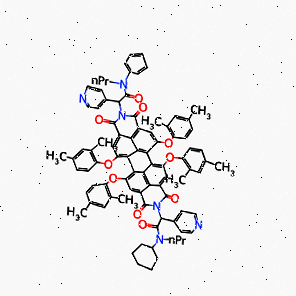 CCCN(C(=O)C(c1ccncc1)N1C(=O)c2cc(Oc3ccc(C)cc3C)c3c4c(Oc5ccc(C)cc5C)cc5c6c(cc(Oc7ccc(C)cc7C)c(c7c(Oc8ccc(C)cc8C)cc(c2c37)C1=O)c64)C(=O)N(C(C(=O)N(CCC)C1CCCCC1)c1ccncc1)C5=O)c1ccccc1